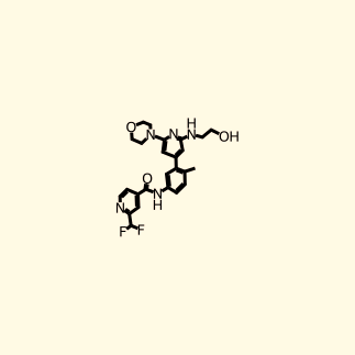 Cc1ccc(NC(=O)c2ccnc(C(F)F)c2)cc1-c1cc(NCCO)nc(N2CCOCC2)c1